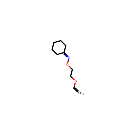 C=COCCON=C1CCCCC1